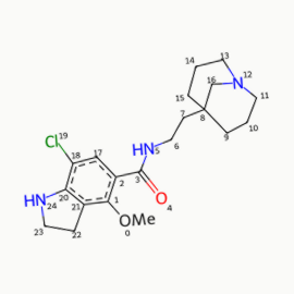 COc1c(C(=O)NCCC23CCCN(CCC2)C3)cc(Cl)c2c1CCN2